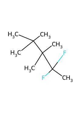 CC(C)(C)C(C)(C)C(C)(F)F